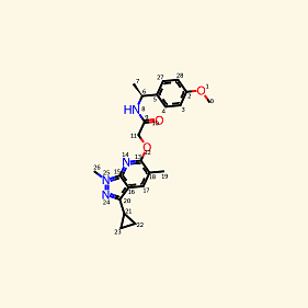 COc1ccc([C@H](C)NC(=O)COc2nc3c(cc2C)c(C2CC2)nn3C)cc1